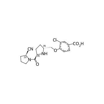 N#C[C@@H]1CCCN1C(=O)[C@H]1CC[C@H](COc2ccc(C(=O)O)cc2Cl)N1